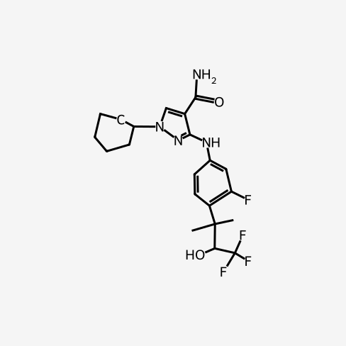 CC(C)(c1ccc(Nc2nn(C3CCCCC3)cc2C(N)=O)cc1F)C(O)C(F)(F)F